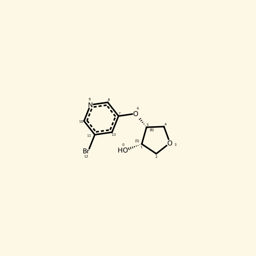 O[C@H]1COC[C@H]1Oc1cncc(Br)c1